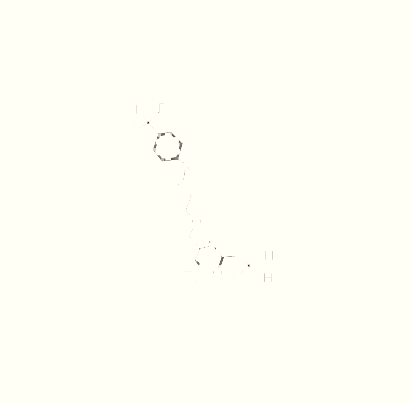 C=CC(COCCOSc1ccc(C(F)(F)F)cc1)NC(=O)OC(C)(C)C